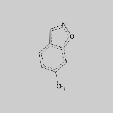 FC(F)(F)c1ccc2cnoc2c1